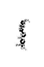 Cc1nc2cnc(Nc3ccnc(-c4cnn(S(=O)(=O)c5ccn(C)n5)c4)n3)cc2n1C(C)C